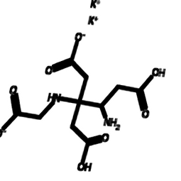 NC(CC(=O)O)C(CC(=O)[O-])(CC(=O)O)NCC(=O)[O-].[K+].[K+]